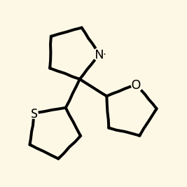 C1COC(C2(C3CCCS3)CCC[N]2)C1